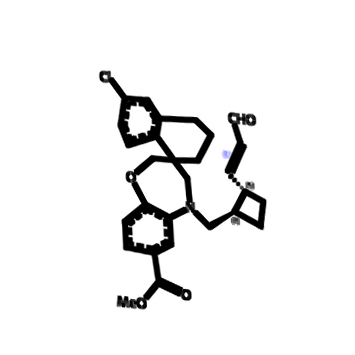 COC(=O)c1ccc2c(c1)N(C[C@@H]1CC[C@H]1/C=C/C=O)CC1(CCCc3cc(Cl)ccc31)CO2